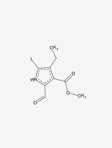 CCc1c(I)[nH]c(C=O)c1C(=O)OC